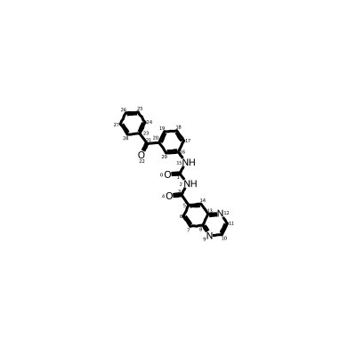 O=C(NC(=O)c1ccc2nccnc2c1)Nc1cccc(C(=O)c2ccccc2)c1